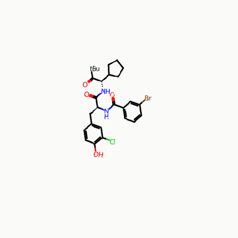 CC(C)(C)C(=O)[C@@H](NC(=O)[C@H](Cc1ccc(O)c(Cl)c1)NC(=O)c1cccc(Br)c1)C1CCCC1